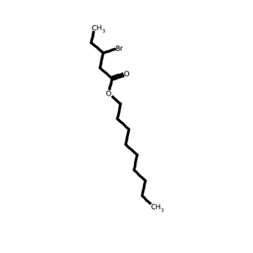 CCCCCCCCCOC(=O)CC(Br)CC